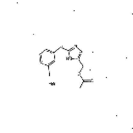 Br.CC(=O)OCc1cnc(Cc2cccc(I)c2)[nH]1